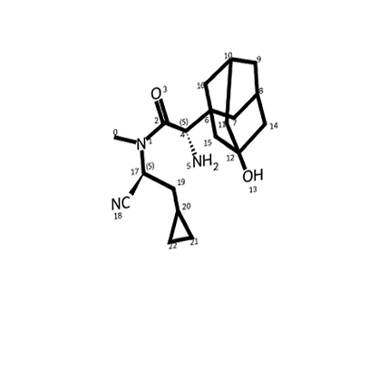 CN(C(=O)[C@@H](N)C12CC3CC(CC(O)(C3)C1)C2)[C@H](C#N)CC1CC1